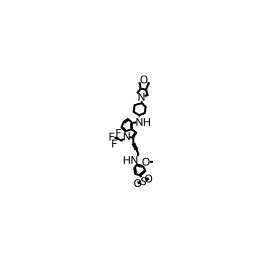 COc1cc(S(C)(=O)=O)ccc1NCC#Cc1cc2c(N[C@H]3CC[C@H](N4CC5COCC5C4)CC3)cccc2n1CC(F)(F)F